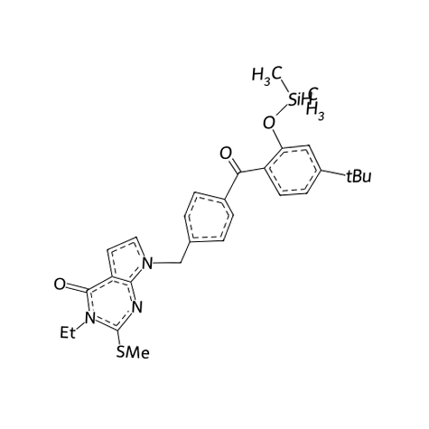 CCn1c(SC)nc2c(ccn2Cc2ccc(C(=O)c3ccc(C(C)(C)C)cc3O[SiH](C)C)cc2)c1=O